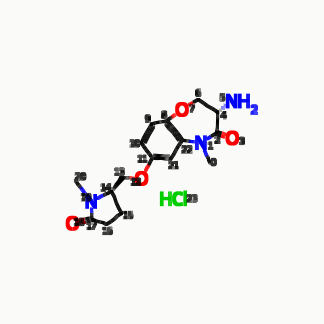 CN1C(=O)[C@@H](N)COc2ccc(OC[C@H]3CCC(=O)N3C)cc21.Cl